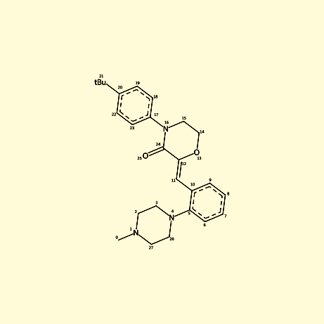 CN1CCN(c2ccccc2C=C2OCCN(c3ccc(C(C)(C)C)cc3)C2=O)CC1